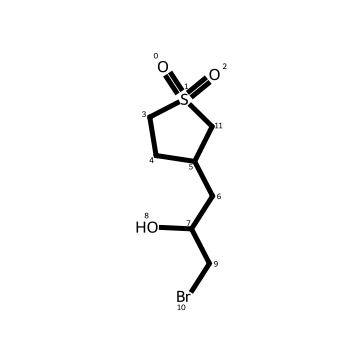 O=S1(=O)CCC(CC(O)CBr)C1